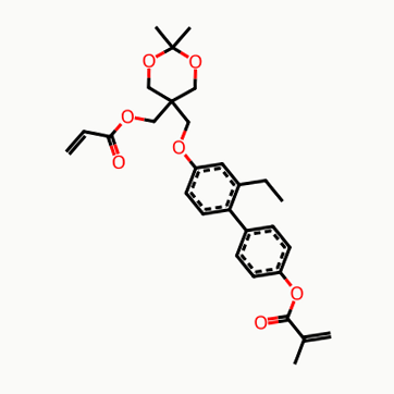 C=CC(=O)OCC1(COc2ccc(-c3ccc(OC(=O)C(=C)C)cc3)c(CC)c2)COC(C)(C)OC1